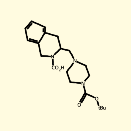 CC(C)(C)OC(=O)N1CCN(CC2Cc3ccccc3CN2C(=O)O)CC1